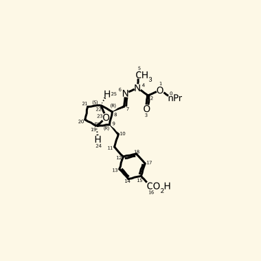 CCCOC(=O)N(C)N=C[C@H]1[C@@H](CCc2ccc(C(=O)O)cc2)[C@H]2CC[C@@H]1O2